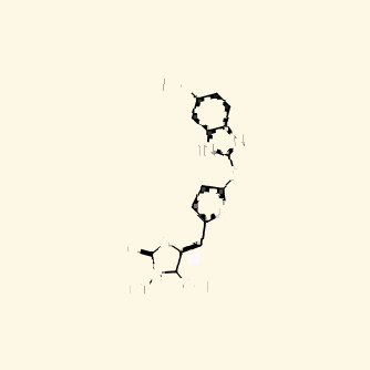 CC(C)N1C(=O)S/C(=C\c2ccc(Sc3nc4ccc(C(F)(F)F)cc4[nH]3)o2)C1O